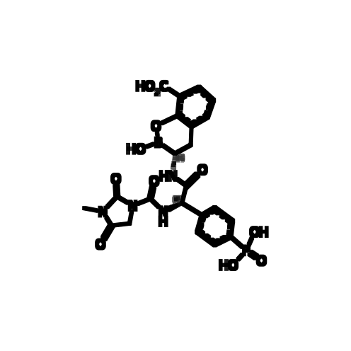 CN1C(=O)CN(C(=O)N[C@@H](C(=O)N[C@H]2Cc3cccc(C(=O)O)c3OB2O)c2ccc(P(=O)(O)O)cc2)C1=O